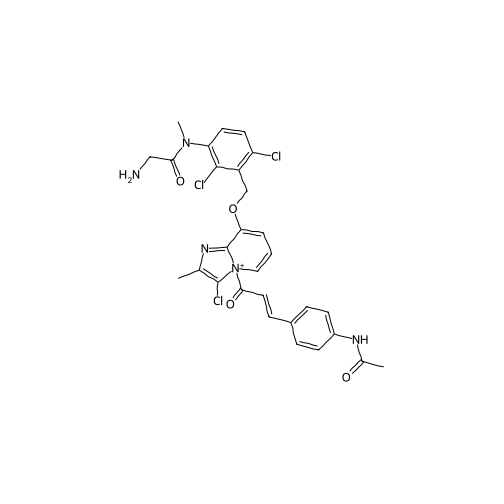 CC(=O)Nc1ccc(C=CC(=O)[N+]23C=CC=C(OCc4c(Cl)ccc(N(C)C(=O)CN)c4Cl)C2=NC(C)=C3Cl)cc1